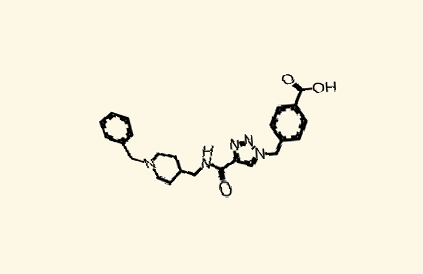 O=C(O)c1ccc(Cn2cc(C(=O)NCC3CCN(Cc4ccccc4)CC3)nn2)cc1